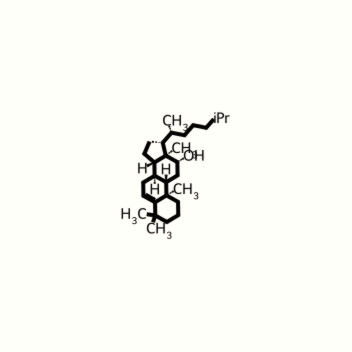 CC(C)CCC[C@@H](C)[C@H]1CC[C@H]2[C@@H]3CC=C4C(C)(C)CCC[C@]4(C)[C@H]3C[C@@H](O)[C@]12C